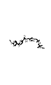 CNC(C)(C)COC(C)(C)Cn1cc(CNC(=O)c2csc(-c3cnc(SC)nc3)n2)nn1